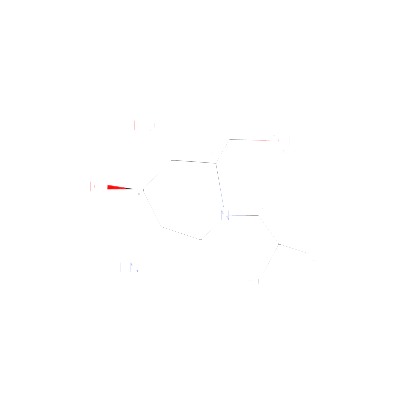 CCC(CC)CN1C[C@H](N)[C@@H](O)[C@H](O)C1CO